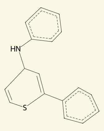 C1=CC(Nc2ccccc2)C=C(c2ccccc2)S1